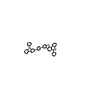 c1ccc(-c2nc3ccccc3c3c2ccc2c4cc(-c5ccc(-c6ccc7c8ccccc8n(-c8ccccc8)c7c6)cc5)ccc4sc23)cc1